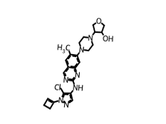 Cc1cc2cnc(Nc3cnn(C4=CCC4)c3Cl)nc2cc1N1CCN(C2COCC2O)CC1